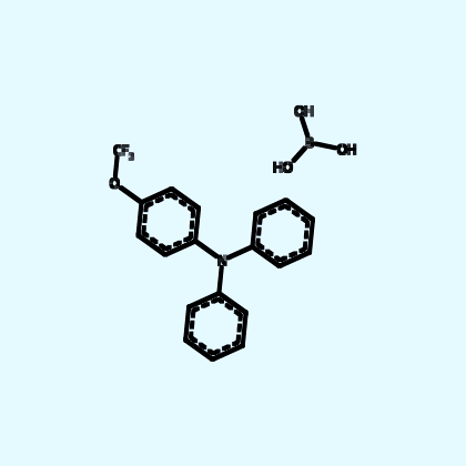 FC(F)(F)Oc1ccc(N(c2ccccc2)c2ccccc2)cc1.OB(O)O